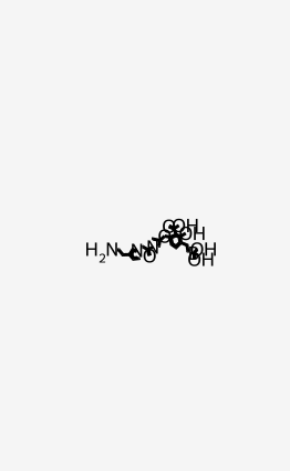 NCCc1ccn(CC(=O)N2CC(Oc3ccc(CCB(O)O)c(O)c3C(=O)O)C2)c1